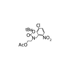 CC(=O)OCCN(Cc1cc(Cl)ccc1[N+](=O)[O-])C(=O)OC(C)(C)C